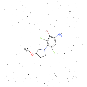 COC1CCN(c2c(F)cc(N)c(Br)c2F)C1